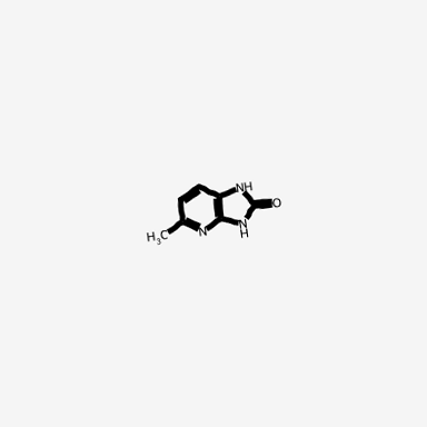 Cc1ccc2[nH]c(=O)[nH]c2n1